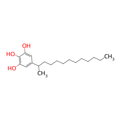 CCCCCCCCCCCC(C)c1cc(O)c(O)c(O)c1